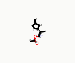 C=C1CC[C@H](/C(C)=C\OC(C)=O)C1